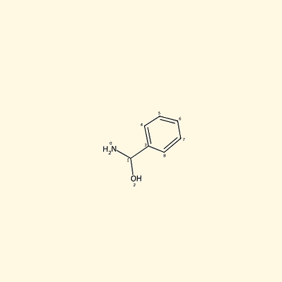 N[C](O)c1ccccc1